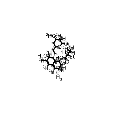 [2H]O[C@@H]1CC(CC[C@@H]2[C@@H]3C(=C([2H])[C@]([2H])(C)C([2H])([2H])C3OC(=O)[C@]([2H])(CC)C([2H])([2H])[2H])C([2H])=C([2H])[C@]2([2H])C)OC(=O)C1([2H])[2H]